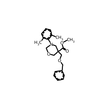 COC(=O)C1(COCc2ccccc2)COCN(c2c(C)cccc2C)C1